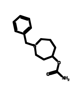 NC(=O)OC1CCCN(Cc2ccccc2)CC1